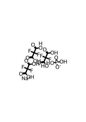 O=C(O)C(F)(F)C(=O)O.O=C(O)C(F)(F)C(=O)O.O=C(O)C(F)(F)C(=O)O.O=P([O-])(O)O.[Na+]